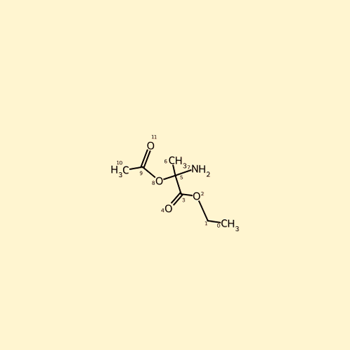 CCOC(=O)C(C)(N)OC(C)=O